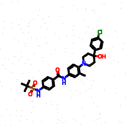 Cc1cc(NC(=O)c2ccc(NS(=O)(=O)C(C)(C)C)cc2)ccc1N1CCC(O)(c2ccc(Cl)cc2)CC1